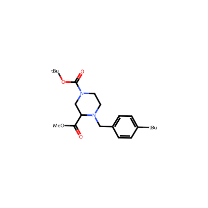 COC(=O)C1CN(C(=O)OC(C)(C)C)CCN1Cc1ccc(C(C)(C)C)cc1